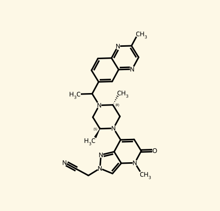 Cc1cnc2cc(C(C)N3C[C@H](C)N(c4cc(=O)n(C)c5cn(CC#N)nc45)C[C@H]3C)ccc2n1